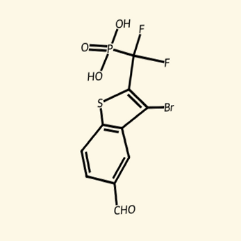 O=Cc1ccc2sc(C(F)(F)P(=O)(O)O)c(Br)c2c1